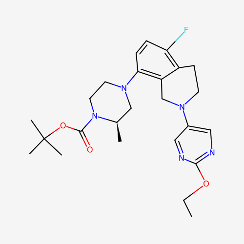 CCOc1ncc(N2CCc3c(F)ccc(N4CCN(C(=O)OC(C)(C)C)[C@H](C)C4)c3C2)cn1